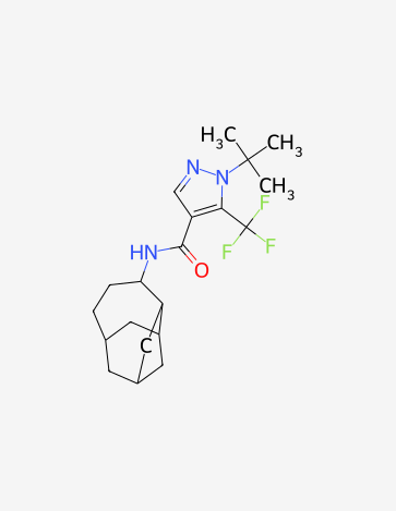 CC(C)(C)n1ncc(C(=O)NC2CCC3CC4CC(C3)C2C4)c1C(F)(F)F